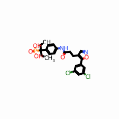 CCC(CC)(c1ccc(NC(=O)CCc2cnoc2-c2cc(Cl)cc(Cl)c2)cc1)P(=O)(O)O